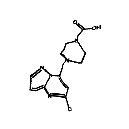 O=C(O)N1CCN(c2cc(Cl)nc3ccnn23)CC1